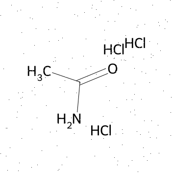 CC(N)=O.Cl.Cl.Cl